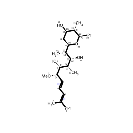 CCC/C(C)=C/C=C/[C@H](OC)[C@H](O)[C@@H](C)[C@@H](O)[C@H](C)[C@H]1C[C@@H](O)[C@H](C)[C@@H](C(C)C)O1